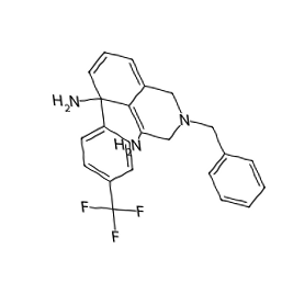 NC1=C2C(=CC=CC2(N)c2ccc(C(F)(F)F)cc2)CN(Cc2ccccc2)C1